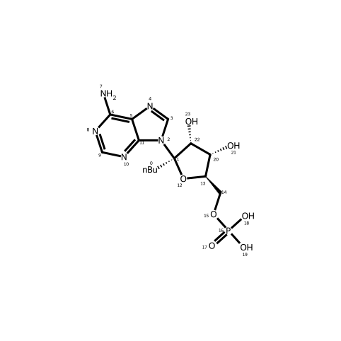 CCCC[C@@]1(n2cnc3c(N)ncnc32)O[C@H](COP(=O)(O)O)[C@@H](O)[C@H]1O